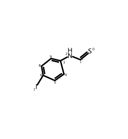 S=[C]Nc1ccc(I)cc1